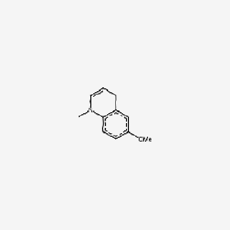 COc1ccc2c(c1)CC=CN2C